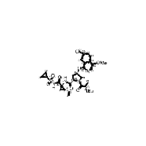 C=C[C@@H]1C[C@]1(NC(=O)[C@@H]1C[C@@H](Oc2ncc(OC)c3ccc(Cl)cc23)CN1C(=O)[C@@H](C)C(C)(C)C)C(=O)NS(=O)(=O)C1CC1